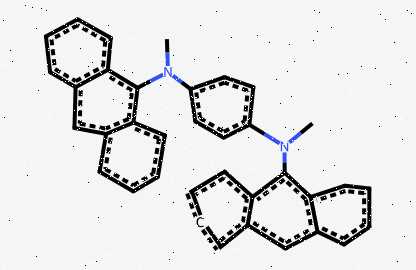 CN(c1ccc(N(C)c2c3ccccc3cc3ccccc23)cc1)c1c2ccccc2cc2ccccc12